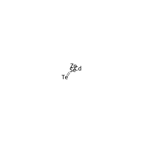 [Cd].[Se]=[Te].[Zn]